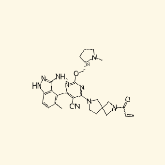 C=CC(=O)N1CC2(CCN(c3nc(OC[C@@H]4CCCN4C)nc(-c4c(C)ccc5[nH]nc(N)c45)c3C#N)C2)C1